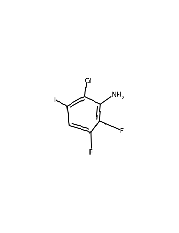 Nc1c(F)c(F)cc(I)c1Cl